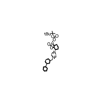 CC(C)(C)C(C)(C)OC(=O)OCn1c(=O)oc2c(N3CCN(Cc4cccc(-c5ccccc5)c4)CC3)cccc21